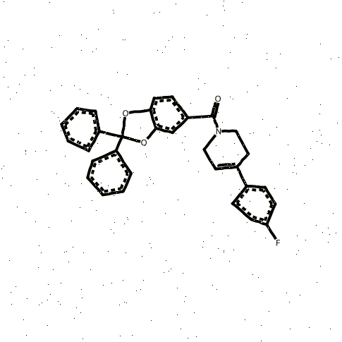 O=C(c1ccc2c(c1)OC(c1ccccc1)(c1ccccc1)O2)N1CC=C(c2ccc(F)cc2)CC1